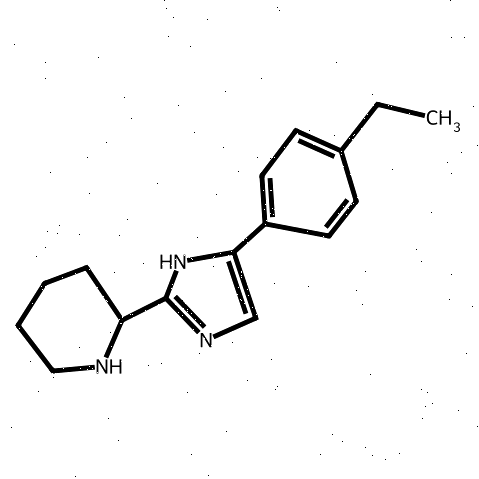 CCc1ccc(-c2cnc(C3CCCCN3)[nH]2)cc1